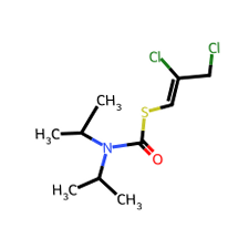 CC(C)N(C(=O)SC=C(Cl)CCl)C(C)C